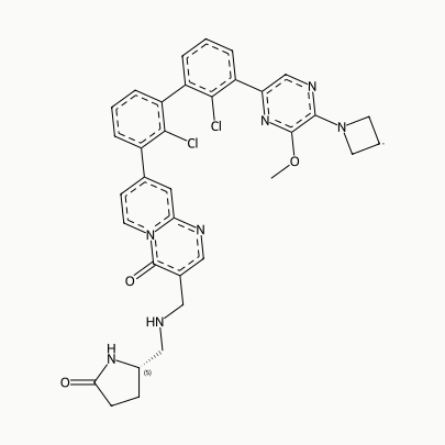 COc1nc(-c2cccc(-c3cccc(-c4ccn5c(=O)c(CNC[C@@H]6CCC(=O)N6)cnc5c4)c3Cl)c2Cl)cnc1N1C[CH]C1